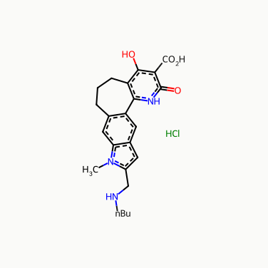 CCCCNCc1cc2cc3c(cc2n1C)CCCc1c-3[nH]c(=O)c(C(=O)O)c1O.Cl